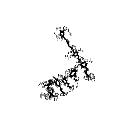 Cc1cc(CCC(=O)O)cc(C)c1O.Cc1cc(CCC(=O)O)cc(C)c1O.Cc1cc(CCC(=O)O)cc(C)c1O.Cc1cc(CCC(=O)O)cc(C)c1O.Cc1cc(CCC(=O)O)cc(C)c1O.Cc1cc(CCC(=O)O)cc(C)c1O.OCC(CO)(CO)COCC(CO)(CO)CO